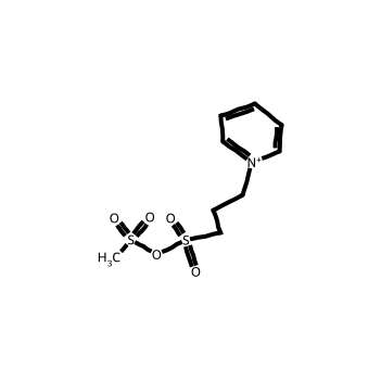 CS(=O)(=O)OS(=O)(=O)CCC[n+]1ccccc1